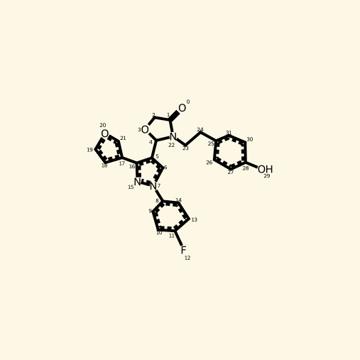 O=C1COC(c2cn(-c3ccc(F)cc3)nc2-c2ccoc2)N1CCc1ccc(O)cc1